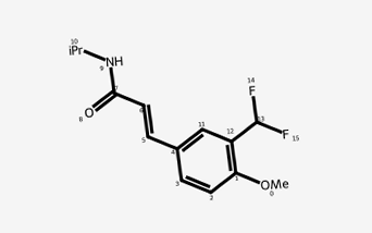 COc1ccc(C=CC(=O)NC(C)C)cc1C(F)F